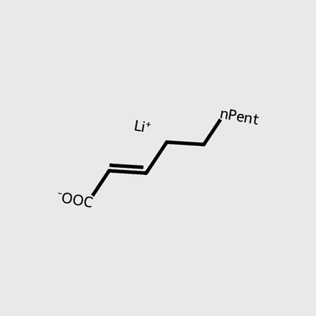 CCCCCCCC=CC(=O)[O-].[Li+]